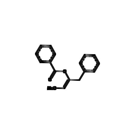 COC=C(Cc1ccccc1)OC(=O)c1ccccc1